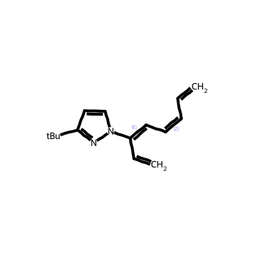 C=C/C=C\C=C(/C=C)n1ccc(C(C)(C)C)n1